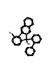 OC1(c2ccccc2-c2ccccc2)c2cc3ccccc3cc2-c2c(Br)cccc21